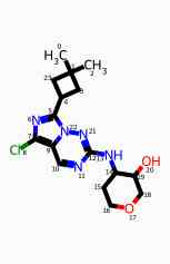 CC1(C)CC(c2nc(Cl)c3cnc(NC4CCOCC4O)nn23)C1